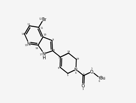 CC(C)(C)OC(=O)N1CC=C(c2cc3c(Br)ccnc3[nH]2)CC1